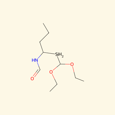 CCCC(NC=O)[SiH2]C(OCC)OCC